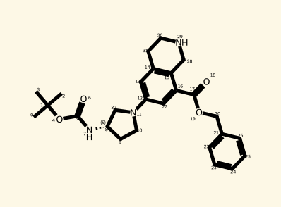 CC(C)(C)OC(=O)N[C@H]1CCN(c2cc3c(c(C(=O)OCc4ccccc4)c2)CNCC3)C1